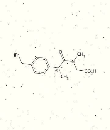 CC(C)Cc1ccc([C@@H](C)C(=O)N(C)CC(=O)O)cc1